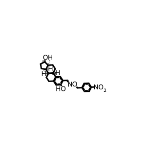 C[C@]12CC[C@@H]3c4cc(C=NOCc5ccc([N+](=O)[O-])cc5)c(O)cc4CC[C@H]3[C@@H]1CC[C@H]2O